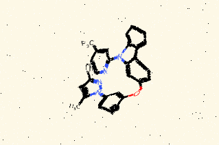 Cc1cc(C)n(-c2cccc(Oc3ccc4c5ccccc5n(-c5cc(C(F)(F)F)ccn5)c4c3)c2)n1